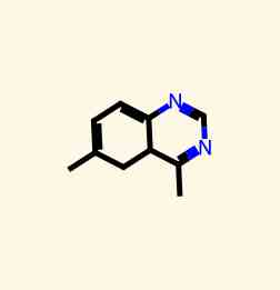 CC1=CC=C2N=CN=C(C)C2C1